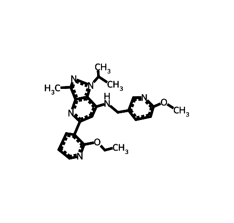 CCOc1ncccc1-c1cc(NCc2ccc(OC)nc2)c2c(n1)c(C)nn2C(C)C